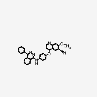 COc1cc2nccc(Oc3ccc(Nc4nnc(-c5ccccc5)c5ccccc45)cc3)c2cc1C#N